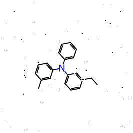 CCc1cccc(N(c2ccccc2)c2cccc(C)c2)c1